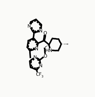 Cc1ccc(-c2ncccn2)c(C(=O)[C@@]2(COc3nccc(C(F)(F)F)n3)CC[C@H](C)CN2)n1